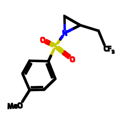 COc1ccc(S(=O)(=O)N2CC2CC(F)(F)F)cc1